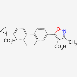 Cc1noc(-c2ccc3c(c2)CCc2cc(C4(C(=O)O)CC4)ccc2-3)c1C(=O)O